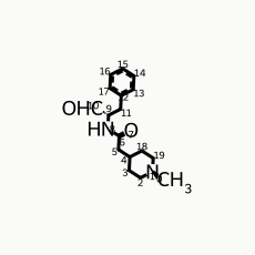 CN1CCC(CC(=O)N[C@H](C=O)Cc2ccccc2)CC1